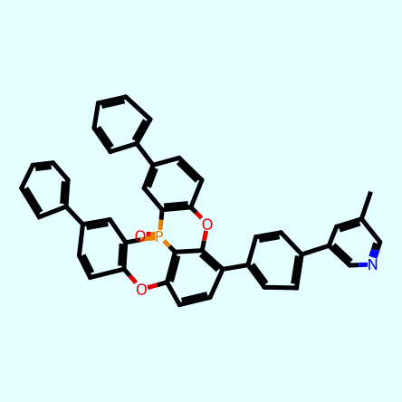 Cc1cncc(-c2ccc(-c3ccc4c5c3Oc3ccc(-c6ccccc6)cc3P5(=O)c3cc(-c5ccccc5)ccc3O4)cc2)c1